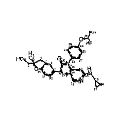 CC1(CO)Cc2cc(-c3nc4cnc(NC5CC5)nc4n(-c4ccc(OC(F)F)cc4)c3=O)ccc2O1